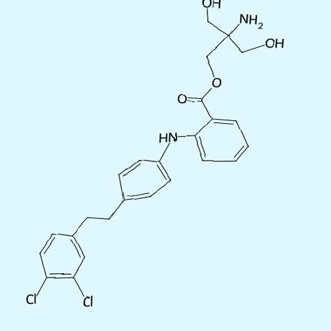 NC(CO)(CO)COC(=O)c1ccccc1Nc1ccc(CCc2ccc(Cl)c(Cl)c2)cc1